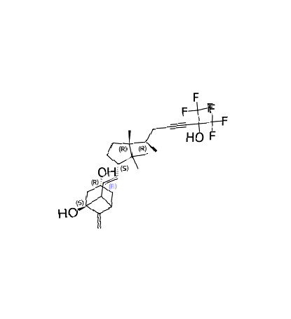 C=C1C2C[C@@H](O)C[C@]1(O)C2/C=C/[C@@H]1CC[C@](C)([C@H](C)CC#CC(O)(C(F)(F)F)C(F)(F)F)C1(C)C